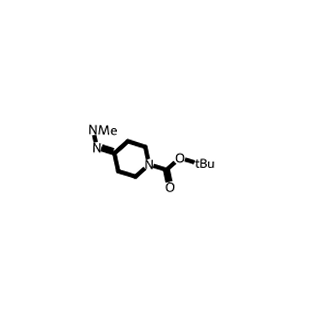 CNN=C1CCN(C(=O)OC(C)(C)C)CC1